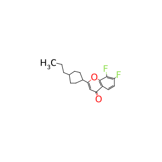 CCCC1CCC(c2cc(=O)c3ccc(F)c(F)c3o2)CC1